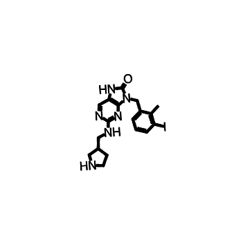 Cc1c(I)cccc1Cn1c(=O)[nH]c2cnc(NCC3CCNC3)nc21